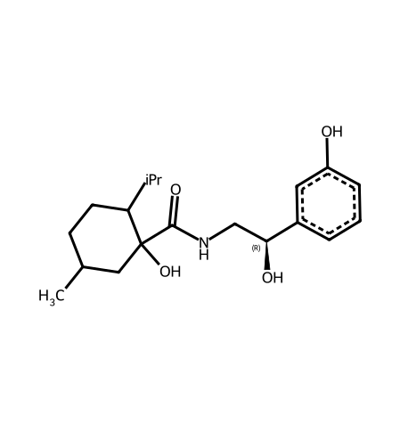 CC1CCC(C(C)C)C(O)(C(=O)NC[C@H](O)c2cccc(O)c2)C1